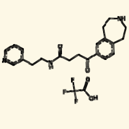 O=C(CCC(=O)c1ccc2c(c1)CCNCC2)NCCc1cccnc1.O=C(O)C(F)(F)F